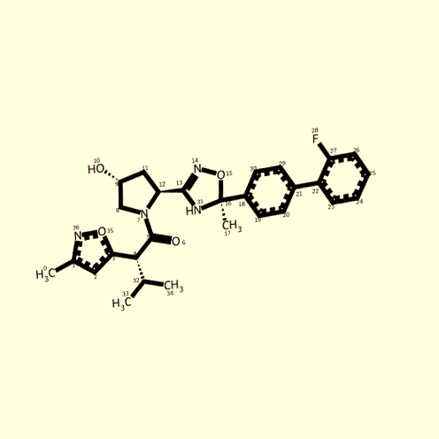 Cc1cc([C@H](C(=O)N2C[C@H](O)C[C@H]2C2=NO[C@@](C)(c3ccc(-c4ccccc4F)cc3)N2)C(C)C)on1